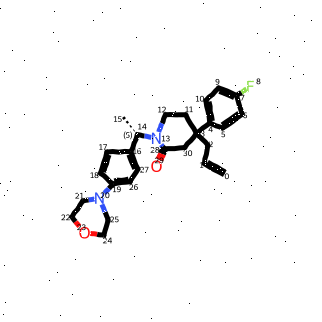 C=CCC1(c2ccc(F)cc2)CCN([C@@H](C)c2ccc(N3CCOCC3)cc2)C(=O)C1